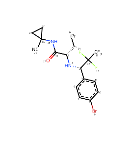 CC(C)C[C@H](N[C@@H](c1ccc(Br)cc1)C(F)(F)C(F)(F)F)C(=O)NC1(C#N)CC1